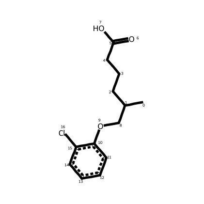 CC(CCCC(=O)O)COc1ccccc1Cl